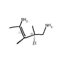 CC[C@](C)(CN)/C(C)=C(/C)N